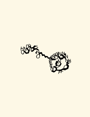 C[C@H]1Nc2ncnc3c2C=C(N2CCOCC2)C(OCCCCCCCCCC(=O)N(C)Cc2scc4c2CN(C2CCC(=O)NC2=O)C4=O)N3CCCCCCCN2CCC(CC2)C(F)(F)c2cccc1c2